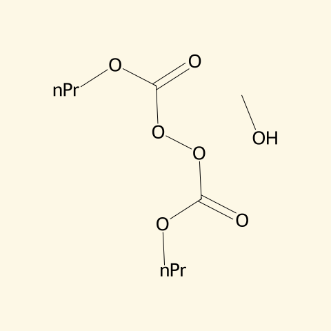 CCCOC(=O)OOC(=O)OCCC.CO